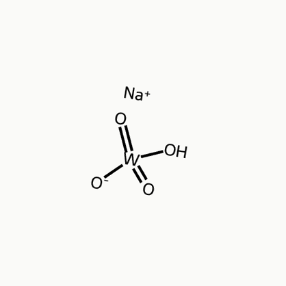 [Na+].[O]=[W](=[O])([O-])[OH]